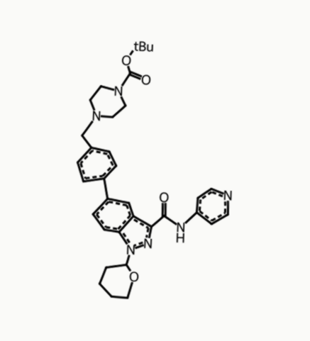 CC(C)(C)OC(=O)N1CCN(Cc2ccc(-c3ccc4c(c3)c(C(=O)Nc3ccncc3)nn4C3CCCCO3)cc2)CC1